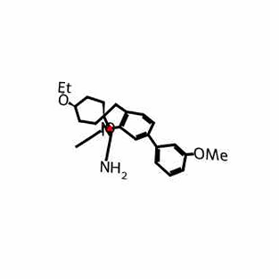 CCO[C@H]1CC[C@@]2(CC1)Cc1ccc(-c3cccc(OC)c3)cc1C21N=C(N)N(C)O1